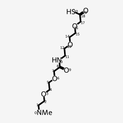 CNCCOCCOCC(=O)NCCOCCOCC(=O)S